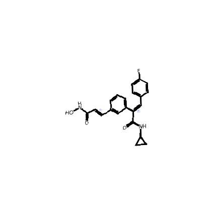 O=C(/C=C/c1cccc(/C(=C\c2ccc(F)cc2)C(=O)NC2CC2)c1)NO